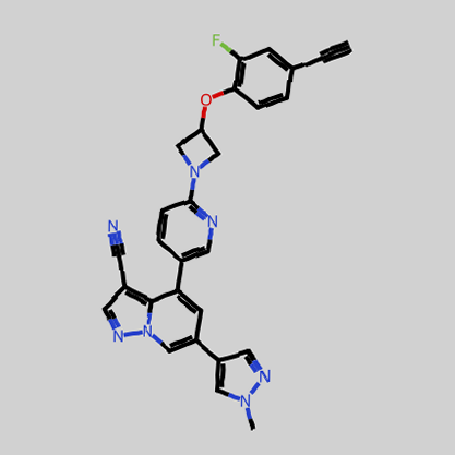 C#Cc1ccc(OC2CN(c3ccc(-c4cc(-c5cnn(C)c5)cn5ncc(C#N)c45)cn3)C2)c(F)c1